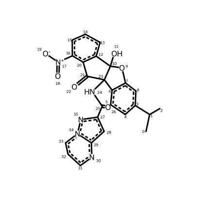 CC(C)c1ccc2c(c1)OC1(O)c3cccc([N+](=O)[O-])c3C(=O)C21NC(=O)c1cc2ncccn2n1